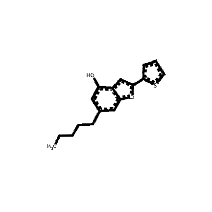 CCCCCc1cc(O)c2cc(-c3cccs3)oc2c1